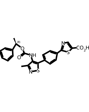 Cc1nsc(-c2ccc(-c3ncc(C(=O)O)s3)cc2)c1NC(=O)O[C@H](C)c1ccccc1